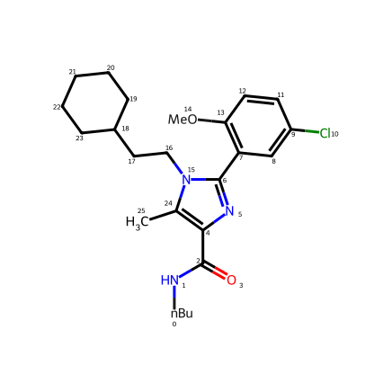 CCCCNC(=O)c1nc(-c2cc(Cl)ccc2OC)n(CCC2CCCCC2)c1C